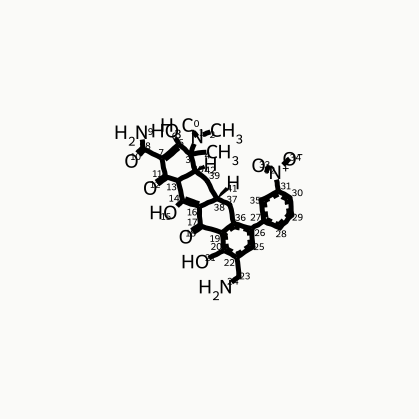 CN(C)C1(C)C(O)=C(C(N)=O)C(=O)C2C(O)=C3C(=O)c4c(O)c(CN)cc(-c5cccc([N+](=O)[O-])c5)c4C[C@H]3C[C@H]21